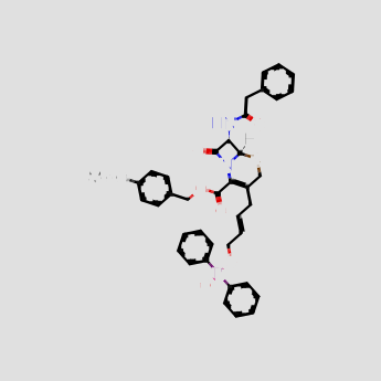 COc1ccc(COC(=O)C2=C(C/C=C/COP(=O)(c3ccccc3)c3ccccc3)CS[C@H]3[C@H](NC(=O)Cc4ccccc4)C(=O)N23)cc1